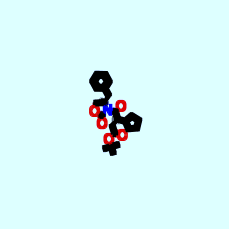 CC(C)(C)OC(=O)C[C@@H](C(=O)N1C(=O)OC[C@H]1Cc1ccccc1)C1CCCC1